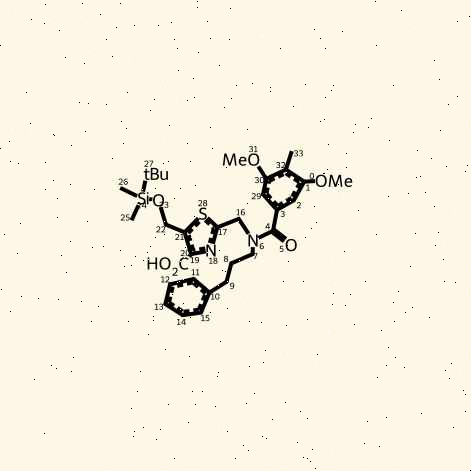 COc1cc(C(=O)N(CCCc2ccccc2)Cc2nc(C(=O)O)c(CO[Si](C)(C)C(C)(C)C)s2)cc(OC)c1C